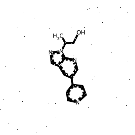 CC(CO)n1ncc2cc(-c3ccncc3)cnc21